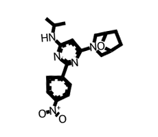 CC(C)Nc1cc(N2CC3CCC(C2)O3)nc(-c2ccc([N+](=O)[O-])cc2)n1